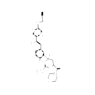 C#CCOc1cnc(/C(F)=C/c2ccc(F)c([C@@]3(C)N=C(N)S[C@](C)(C(=O)N4CCOCC4)[C@H]3C)c2)cn1